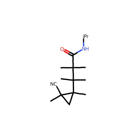 CC(C)NC(=O)C(C)(C)C(C)(C)C1(C)CC1(C)C#N